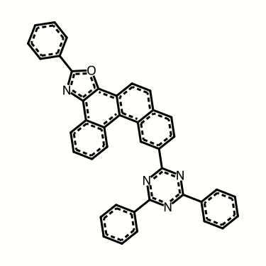 c1ccc(-c2nc(-c3ccccc3)nc(-c3ccc4ccc5c6oc(-c7ccccc7)nc6c6ccccc6c5c4c3)n2)cc1